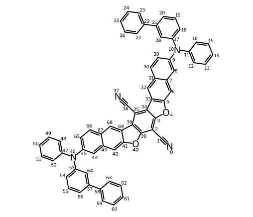 N#Cc1c2oc3cc4cc(N(c5ccccc5)c5cccc(-c6ccccc6)c5)ccc4cc3c2c(C#N)c2c1oc1cc3cc(N(c4ccccc4)c4cccc(-c5ccccc5)c4)ccc3cc12